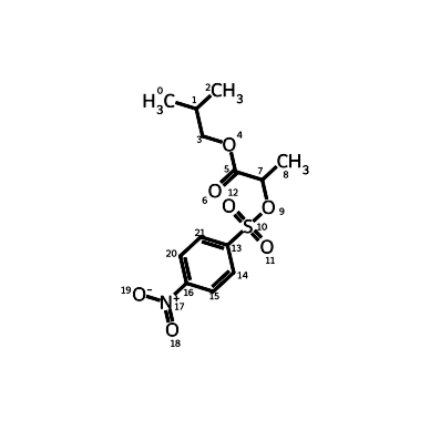 CC(C)COC(=O)C(C)OS(=O)(=O)c1ccc([N+](=O)[O-])cc1